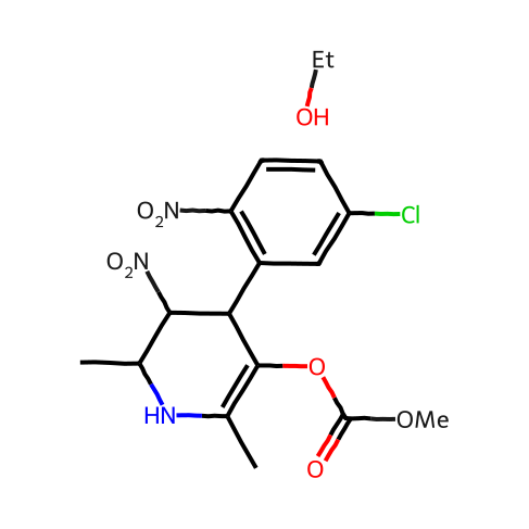 CCO.COC(=O)OC1=C(C)NC(C)C([N+](=O)[O-])C1c1cc(Cl)ccc1[N+](=O)[O-]